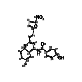 O=C(Nc1nc(C=Cc2ccc([N+](=O)[O-])o2)nc2ccc(F)cc12)c1ccc(O)cc1